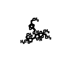 CCc1coc(CO[C@@H]2[C@H]3OC(C)(CC)O[C@H]3O[C@@H]2[C@H]2COC(C)(CC)O2)c1